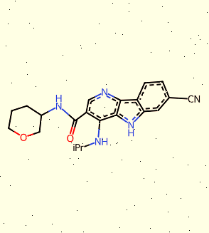 CC(C)Nc1c(C(=O)NC2CCCOC2)cnc2c1[nH]c1cc(C#N)ccc12